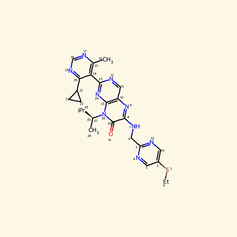 CCSc1cnc(CNc2nc3cnc(-c4c(C)ncnc4C4CC4)nc3n([C@@H](C)C(C)C)c2=O)nc1